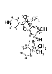 CN(C(=O)C1CCNCC1)C(c1ccc(N[C@H]2Cc3ccccc3C2(C)C)cn1)C(F)(F)F.Cl